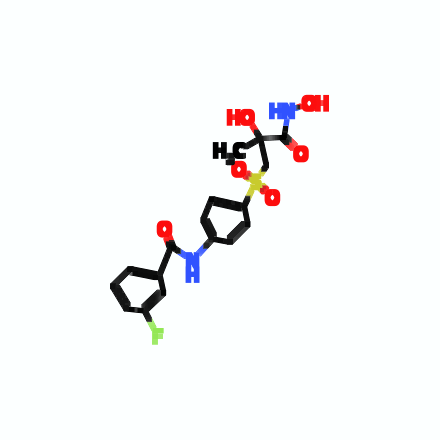 CC(O)(CS(=O)(=O)c1ccc(NC(=O)c2cccc(F)c2)cc1)C(=O)NO